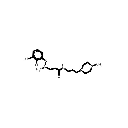 CN1CCN(CCCNC(=O)CCN(C)Sc2cccc(Cl)c2Cl)CC1